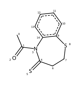 CC(=O)N1C(=S)CCSc2ccccc21